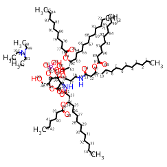 CCCCCCCCCCC[C@H](CC(=O)NCCC[C@]1(NC(=O)C[C@@H](CCCCCCCCCCC)OC(=O)CCCCC)[C@@H](O)O[C@H](CO)[C@@H](OP(=O)(O)O)[C@]1(O)OC(=O)C[C@@H](CCCCCCCCCCC)OC(=O)CCCCCCCCC)OC(=O)CCCCCCCCC.CCN(CC)CC